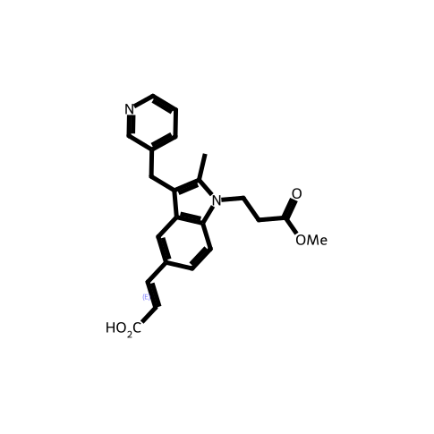 COC(=O)CCn1c(C)c(Cc2cccnc2)c2cc(/C=C/C(=O)O)ccc21